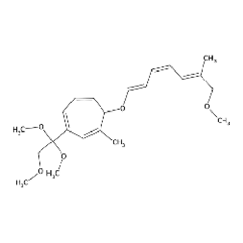 COC/C(C)=C/C=C\C=C\OC1C=CC=C(C(COC)(OC)OC)C=C1C